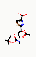 CC(=O)OC(CCN(C)C(=O)OC(C)(C)C)c1nc(C(=O)O)cs1